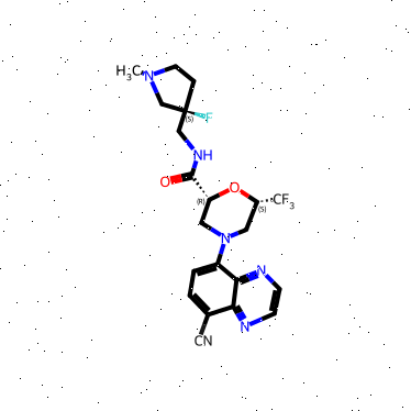 CN1CC[C@](F)(CNC(=O)[C@H]2CN(c3ccc(C#N)c4nccnc34)C[C@@H](C(F)(F)F)O2)C1